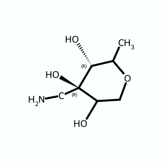 CC1OCC(O)[C@](O)(CN)[C@@H]1O